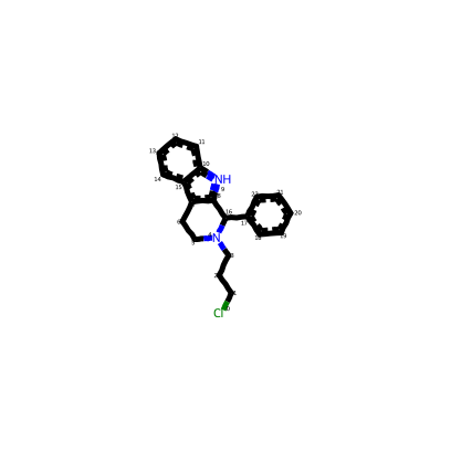 ClCCCN1CCc2c([nH]c3ccccc23)C1c1ccccc1